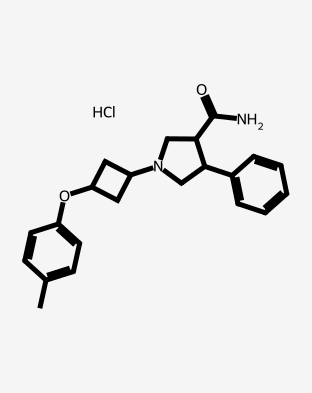 Cc1ccc(OC2CC(N3CC(C(N)=O)C(c4ccccc4)C3)C2)cc1.Cl